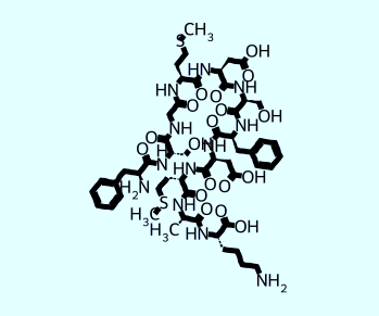 CSCC[C@H](NC(=O)CNC(=O)[C@H](CO)NC(=O)[C@@H](N)Cc1ccccc1)C(=O)N[C@@H](CC(=O)O)C(=O)N[C@@H](CO)C(=O)N[C@@H](Cc1ccccc1)C(=O)N[C@@H](CC(=O)O)C(=O)N[C@@H](CCSC)C(=O)N[C@@H](C)C(=O)N[C@@H](CCCCN)C(=O)O